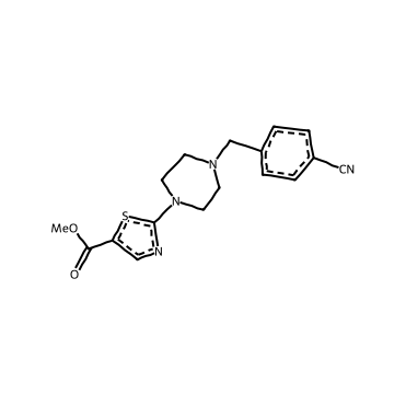 COC(=O)c1cnc(N2CCN(Cc3ccc(C#N)cc3)CC2)s1